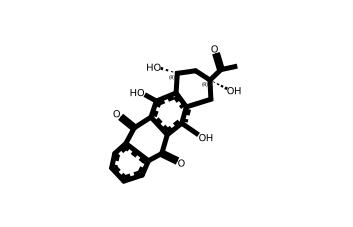 CC(=O)[C@@]1(O)Cc2c(O)c3c(c(O)c2[C@H](O)C1)C(=O)c1ccccc1C3=O